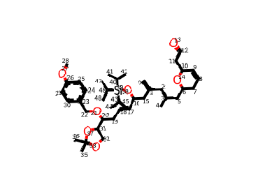 C=C(CC(C)CC1CC=CC(CC=O)O1)CC(C=CCC(OCc1ccc(OC)cc1)C1COC(C)(C)O1)O[Si](C(C)C)(C(C)C)C(C)C